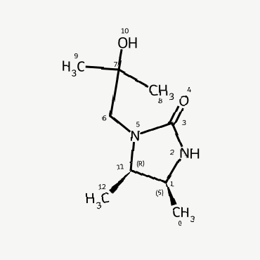 C[C@@H]1NC(=O)N(CC(C)(C)O)[C@@H]1C